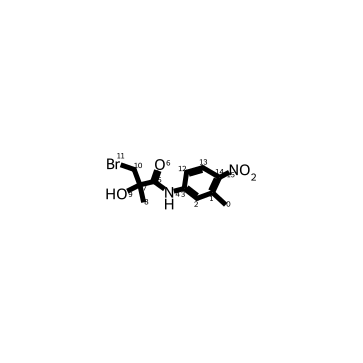 Cc1cc(NC(=O)C(C)(O)CBr)ccc1[N+](=O)[O-]